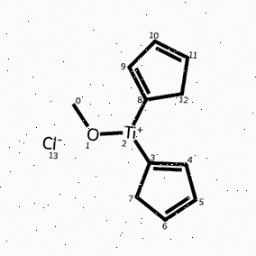 C[O][Ti+]([C]1=CC=CC1)[C]1=CC=CC1.[Cl-]